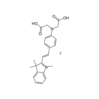 C[N+]1=C(C=Cc2ccc(N(CC(=O)O)CC(=O)O)cc2)C(C)(C)c2ccccc21.[I-]